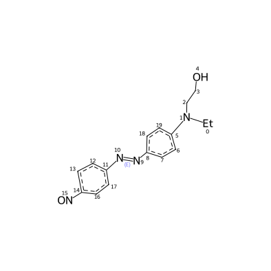 CCN(CCO)c1ccc(/N=N/c2ccc(N=O)cc2)cc1